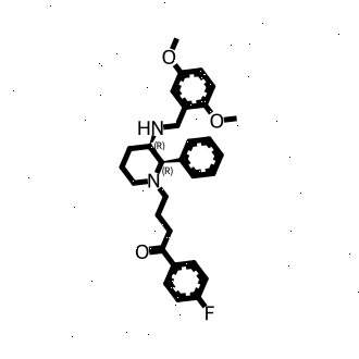 COc1ccc(OC)c(CN[C@@H]2CCCN(CCCC(=O)c3ccc(F)cc3)[C@@H]2c2ccccc2)c1